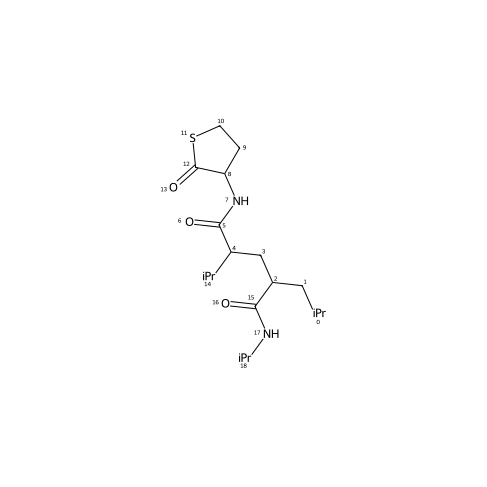 CC(C)CC(CC(C(=O)NC1CCSC1=O)C(C)C)C(=O)NC(C)C